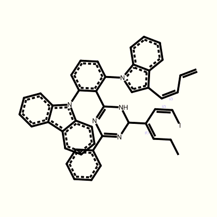 C=C/C=C\c1cn(-c2cccc(-n3c4ccccc4c4ccccc43)c2C2=NC(c3ccccc3)=NC(C(/C=C\I)=C/CC)N2)c2ccccc12